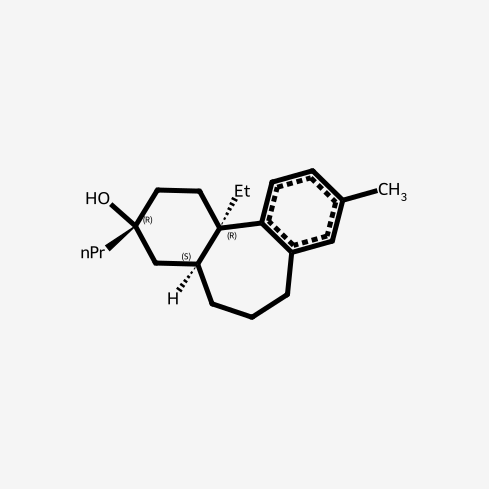 CCC[C@@]1(O)CC[C@@]2(CC)c3ccc(C)cc3CCC[C@H]2C1